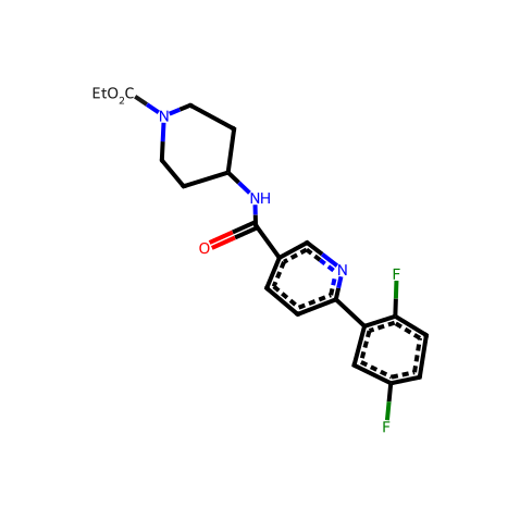 CCOC(=O)N1CCC(NC(=O)c2ccc(-c3cc(F)ccc3F)nc2)CC1